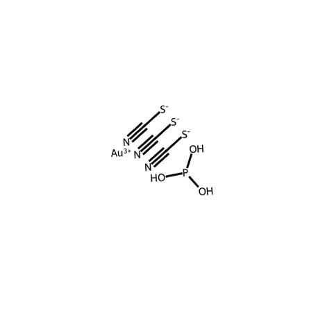 N#C[S-].N#C[S-].N#C[S-].OP(O)O.[Au+3]